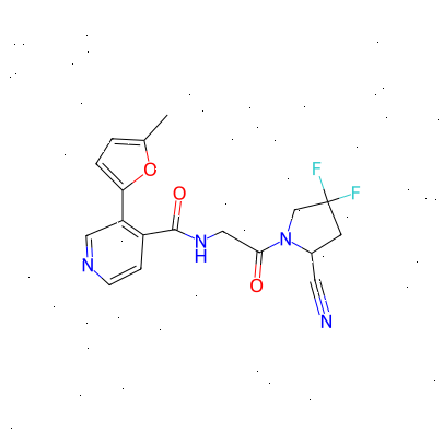 Cc1ccc(-c2cnccc2C(=O)NCC(=O)N2CC(F)(F)CC2C#N)o1